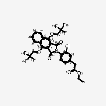 CCOC(=O)Cc1ccc(N2C(=O)c3c(c(OCC(F)(F)F)c4ccccc4c3OCC(F)(F)F)C2=O)c(Cl)c1